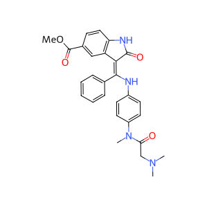 COC(=O)c1ccc2c(c1)/C(=C(/Nc1ccc(N(C)C(=O)CN(C)C)cc1)c1ccccc1)C(=O)N2